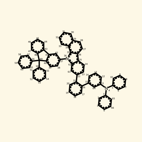 c1ccc(N(c2ccccc2)c2cccc(-c3ccccc3-c3ccc4c5ccc6ccccc6c5n(-c5ccc6c(c5)-c5ccccc5C6(c5ccccc5)c5ccccc5)c4c3)c2)cc1